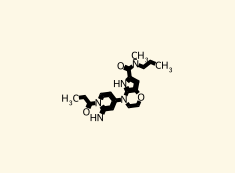 CCCN(C)C(=O)c1cc2c([nH]1)N(c1ccn(C(=O)CC)c(=N)c1)CCO2